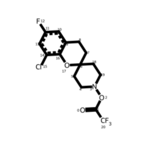 O=C(ON1CCC2(CCc3cc(F)cc(Cl)c3O2)CC1)C(F)(F)F